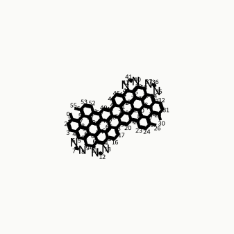 Cc1ccc2c3ncnc4c5ncnc6c7ccc8c9cc%10c%11ccc(C)c%12c%13c(C)ccc%14c%15ncnc%16c%17ncnc%18c%19ccc%20c%21cc%22c%23ccc(C)c%24c1c2c1c(c34)c(c65)c2c7c8c(c%21c9c3c%20c%19c4c(c%18%17)c(c%15%16)c(c%14%13)c(c%11%12)c4c%103)c%22c2c1c%23%24